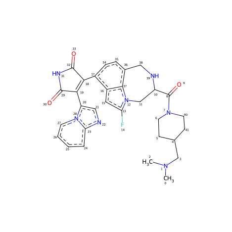 CN(C)CC1CCN(C(=O)C2Cn3c(F)cc4c(C5=C(c6cnc7ccccn67)C(=O)NC5=O)ccc(c43)CN2)CC1